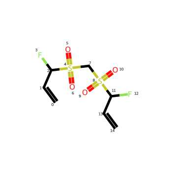 C=CC(F)S(=O)(=O)CS(=O)(=O)C(F)C=C